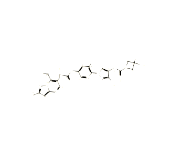 CO[C@@H](C)c1c(NC(=O)Nc2cnc(-n3cc(NC(=S)N4CC(F)(F)C4)c(Cl)n3)c(C(F)(F)F)c2)cnc2cc(Cl)nn12